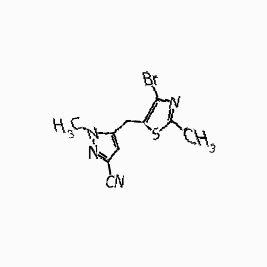 Cc1nc(Br)c(Cc2cc(C#N)nn2C)s1